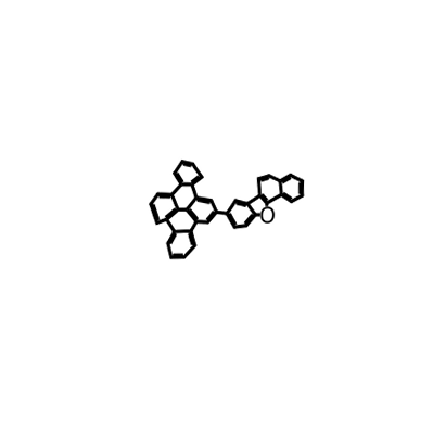 c1ccc2c(c1)ccc1c3cc(-c4cc5c6ccccc6c6cccc7c8ccccc8c(c4)c5c67)ccc3oc21